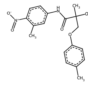 Cc1ccc(OCC(C)(O)C(=O)Nc2ccc([N+](=O)[O-])c(C)c2)cc1